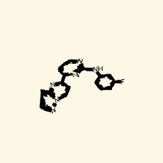 Fc1cccc(Nc2nccc(-c3ccn4nccc4n3)n2)c1